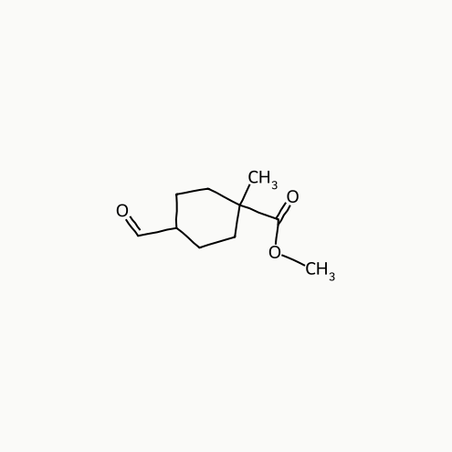 COC(=O)C1(C)CCC(C=O)CC1